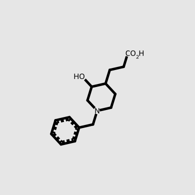 O=C(O)CCC1CCN(Cc2ccccc2)CC1O